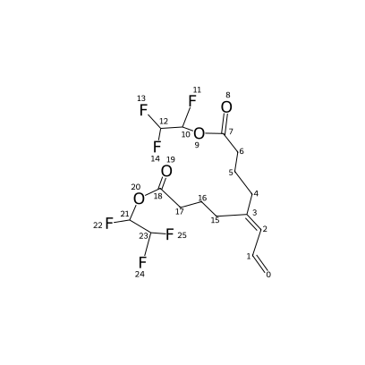 C=CC=C(CCCC(=O)OC(F)C(F)F)CCCC(=O)OC(F)C(F)F